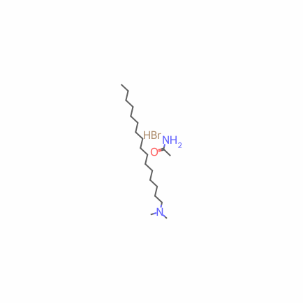 Br.CC(N)=O.CCCCCCCCCCCCCCCCN(C)C